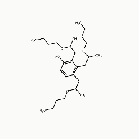 CCCCOC(C)Cc1ccc(O)c(CC(C)OCCCC)c1CC(C)OCCCC